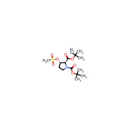 CC(C)(C)OC(=O)[C@@H]1[C@@H](OS(C)(=O)=O)CCN1C(=O)OC(C)(C)C